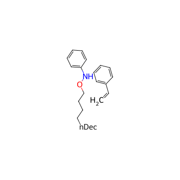 C=Cc1ccccc1.CCCCCCCCCCCCCCONc1ccccc1